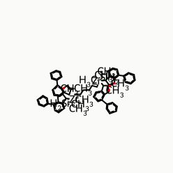 C[SiH2][Zr]([CH3])([CH3])([CH2]CCCC[CH2][Zr]([CH3])([CH3])([SiH2]C)([CH]1C(C)=Cc2c(-c3ccccc3)cccc21)[CH]1C(C)=Cc2c(-c3ccccc3)cccc21)([CH]1C(C)=Cc2c(-c3ccccc3)cccc21)[CH]1C(C)=Cc2c(-c3ccccc3)cccc21